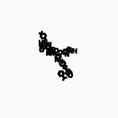 CC(C)c1ccccc1[C@@H]1COCCN1C1CC2(CCN(c3cc(Oc4cnc5[nH]ccc5c4)c(C(=O)NS(=O)(=O)c4cnc(NCC5CCC(C)(C)CC5)c([N+](=O)[O-])c4)cn3)CC2)C1